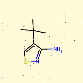 CC(C)(C)c1csnc1N